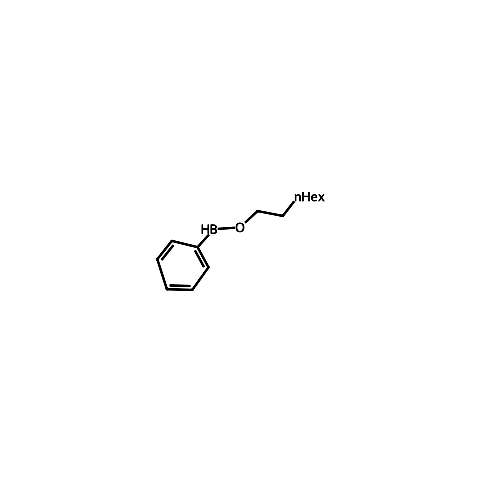 CCCCCCCCOBc1ccccc1